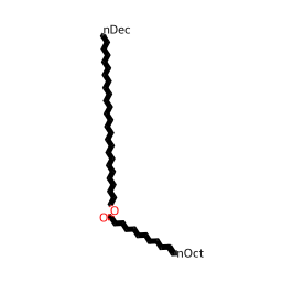 CCCCCCCCC=CCCCCCCCCCC(=O)OCCCCCCCCCCCCCCCCCCCCCCCCCCCCCCCCCCCCC